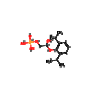 CC(C)c1cccc(C(C)C)c1OC(O)COP(=O)(O)O